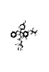 O=C(NC[C@H](O)CC(F)(F)F)N[C@@](Cc1ccccc1)(c1cc(F)cc(OC(F)(F)C(F)F)c1)c1ccc(Cl)cn1